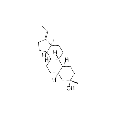 CC=C1CC[C@H]2[C@@H]3CC[C@@H]4C[C@@](C)(O)CC[C@@H]4[C@H]3CC[C@]12C